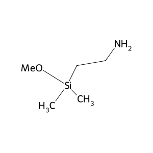 CO[Si](C)(C)CCN